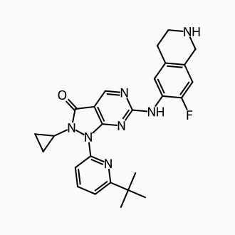 CC(C)(C)c1cccc(-n2c3nc(Nc4cc5c(cc4F)CNCC5)ncc3c(=O)n2C2CC2)n1